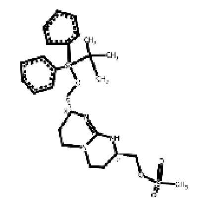 CC(C)(C)[Si](OC[C@H]1CCN2CC[C@H](COS(C)(=O)=O)NC2=N1)(c1ccccc1)c1ccccc1